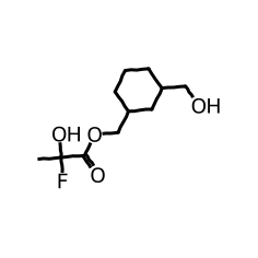 CC(O)(F)C(=O)OCC1CCCC(CO)C1